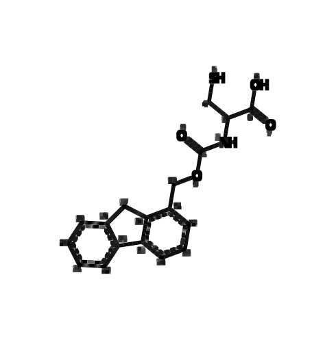 O=C(NC(CS)C(=O)O)OCc1cccc2c1Cc1ccccc1-2